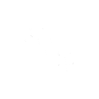 O=C(N1CCc2cc([N+](=O)[O-])c(Br)cc2C1)C(F)(F)F